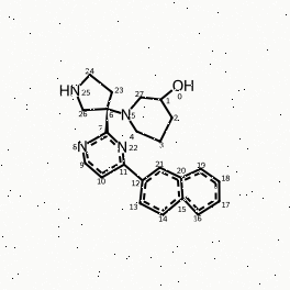 OC1CCCN([C@@]2(c3nccc(-c4ccc5ccccc5c4)n3)CCNC2)C1